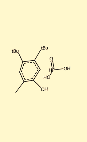 Cc1cc(C(C)(C)C)c(C(C)(C)C)cc1O.O=[PH](O)O